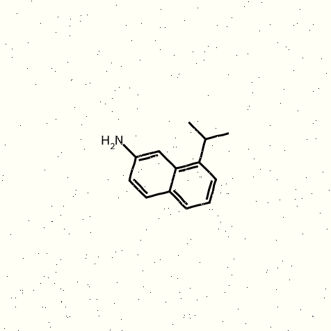 CC(C)c1cccc2ccc(N)cc12